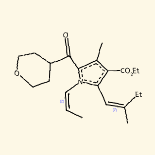 C/C=C\n1c(/C=C(/C)CC)c(C(=O)OCC)c(C)c1C(=O)C1CCOCC1